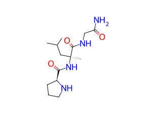 CC(C)C[C@](C)(NC(=O)[C@@H]1CCCN1)C(=O)NCC(N)=O